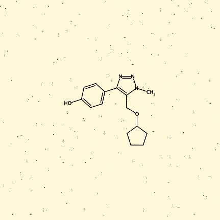 Cn1nnc(-c2ccc(O)cc2)c1COC1CCCC1